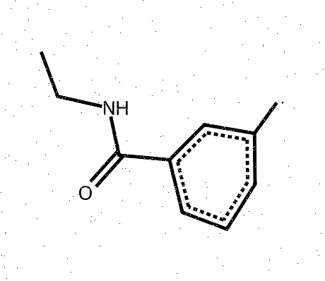 [CH2]c1cccc(C(=O)NCC)c1